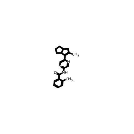 CC1=C(c2cnc(NC(=O)c3ccccc3C)cn2)C2CCCC2C1